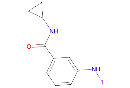 O=C(NC1CC1)c1cccc(NI)c1